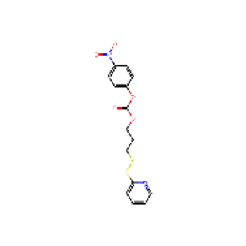 O=C(OCCCSSc1ccccn1)Oc1ccc([N+](=O)[O-])cc1